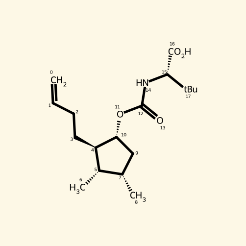 C=CCC[C@@H]1[C@@H](C)[C@@H](C)C[C@H]1OC(=O)N[C@H](C(=O)O)C(C)(C)C